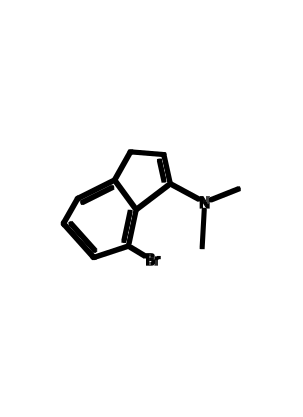 CN(C)C1=CCc2cccc(Br)c21